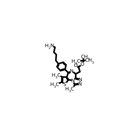 Cc1sc2c(c1C)C(c1ccc(CCCCN)cc1)=NC(CC(=O)OC(C)(C)C)c1nnc(C)n1-2